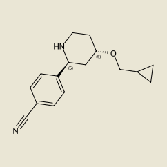 N#Cc1ccc([C@@H]2C[C@@H](OCC3CC3)CCN2)cc1